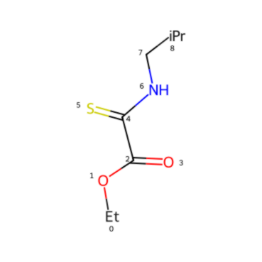 CCOC(=O)C(=S)NCC(C)C